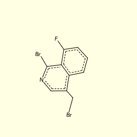 Fc1cccc2c(CBr)cnc(Br)c12